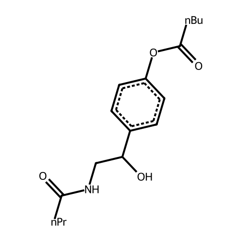 CCCCC(=O)Oc1ccc(C(O)CNC(=O)CCC)cc1